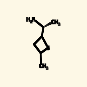 CC1CC([C@@H](C)P)S1